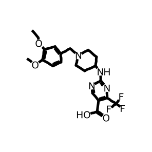 CCOc1cc(CN2CCC(Nc3ncc(C(=O)O)c(C(F)(F)F)n3)CC2)ccc1OC